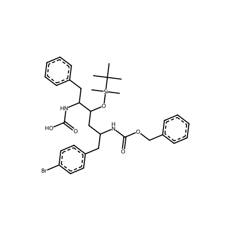 CC(C)(C)[Si](C)(C)OC(CC(Cc1ccc(Br)cc1)NC(=O)OCc1ccccc1)C(Cc1ccccc1)NC(=O)O